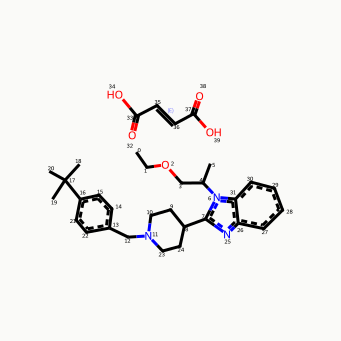 CCOCC(C)n1c(C2CCN(Cc3ccc(C(C)(C)C)cc3)CC2)nc2ccccc21.O=C(O)/C=C/C(=O)O